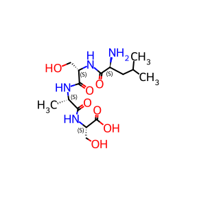 CC(C)C[C@H](N)C(=O)N[C@@H](CO)C(=O)N[C@@H](C)C(=O)N[C@@H](CO)C(=O)O